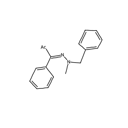 CC(=O)C(=NN(C)Cc1ccccc1)c1ccccc1